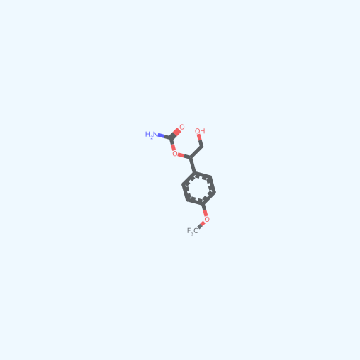 NC(=O)OC(CO)c1ccc(OC(F)(F)F)cc1